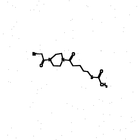 CC(=O)SCCCCC(=O)N1CCN(C(=O)CBr)CC1